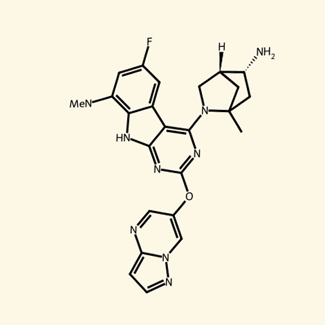 CNc1cc(F)cc2c1[nH]c1nc(Oc3cnc4ccnn4c3)nc(N3C[C@H]4CC3(C)C[C@H]4N)c12